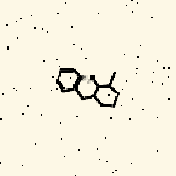 CC1CCCC(Cc2ccccc2)C1N